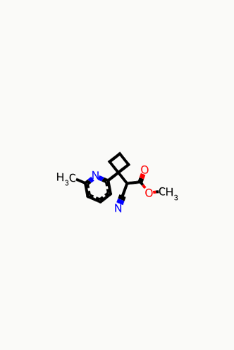 COC(=O)C(C#N)C1(c2cccc(C)n2)CCC1